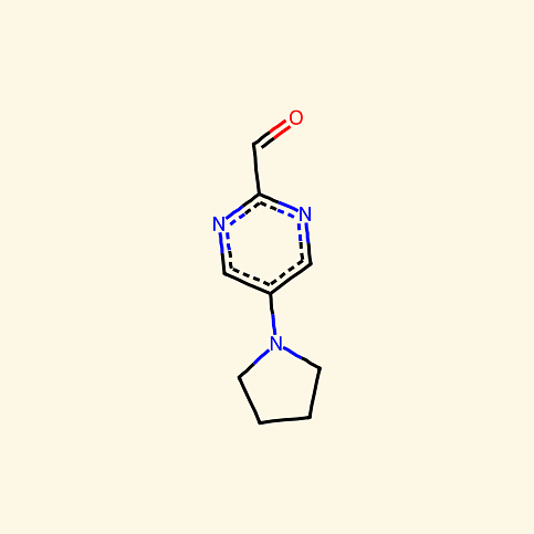 O=Cc1ncc(N2CCCC2)cn1